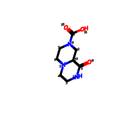 O=C1NCCN2CCN(C(=O)O)CC12